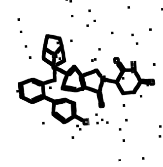 O=C1CCC(N2Cc3cc(CN4C5CCC4CN(Cc4ccccc4-c4ccc(Cl)cc4)C5)ccc3C2=O)C(=O)N1